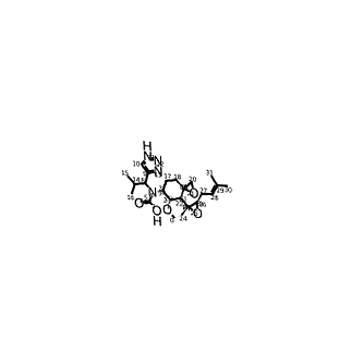 CO[C@@H]1[C@H](N(C(=O)O)C(c2c[nH]nn2)C(C)C)CC[C@]2(CO2)[C@H]1[C@@]1(C)O[C@@H]1CC=C(C)C